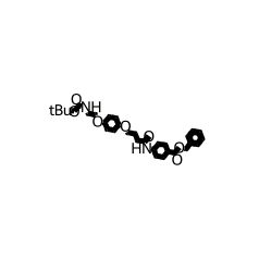 CC(C)(C)OC(=O)NCCOC1CCC(OCCCC(=O)NC2CCC(C(=O)OCc3ccccc3)CC2)CC1